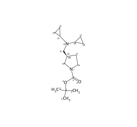 CC(C)(C)OC(=O)N1CC[C@H](CN(C2CC2)C2CC2)C1